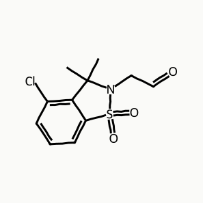 CC1(C)c2c(Cl)cccc2S(=O)(=O)N1CC=O